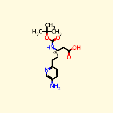 CC(C)(C)OC(=O)N[C@@H](CCc1ccc(N)cn1)CC(=O)O